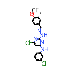 FC(F)(F)Oc1ccc(/C=N/Nc2nc(Cl)cc(Nc3cccc(Cl)c3)n2)cc1